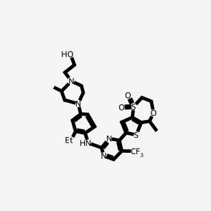 CCc1cc(N2CCN(CCO)C(C)C2)ccc1Nc1ncc(C(F)(F)F)c(-c2cc3c(s2)C(C)OCCS3(=O)=O)n1